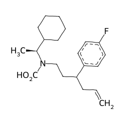 C=CCC(CCN(C(=O)O)[C@@H](C)C1CCCCC1)c1ccc(F)cc1